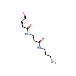 CCCCNC(=O)CCNC(=O)/C=C\C=O